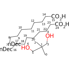 CC(C)(CO)CO.CCCCCCCCCCCCCCCCCC(=O)O.CCCCCCCCCCCCCCCCCC(=O)O